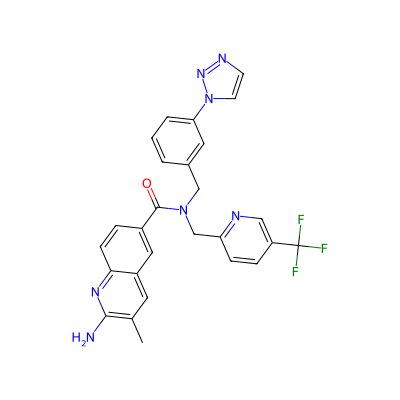 Cc1cc2cc(C(=O)N(Cc3cccc(-n4ccnn4)c3)Cc3ccc(C(F)(F)F)cn3)ccc2nc1N